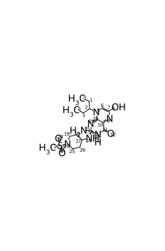 CCC(CC)N1C=C(O)N=C2C(=O)NC(N)(NC3CCN(S(C)(=O)=O)CC3)N=C21